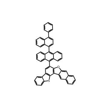 c1ccc(-c2ccc(-c3c4ccccc4c(-c4cc5c6ccccc6sc5c5c4oc4cc6ccccc6cc45)c4ccccc34)c3ccccc23)cc1